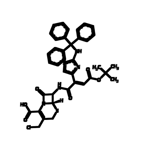 CC(C)(C)OC(=O)C=C(C(=O)NC1C(=O)N2C(C(=O)O)=C(CCl)CS[C@@H]12)c1csc(NC(c2ccccc2)(c2ccccc2)c2ccccc2)n1